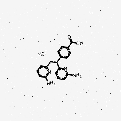 Cl.Nc1cccc(CC(c2ccc(C(=O)O)cc2)c2cccc(N)n2)n1